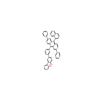 c1ccc(-c2ccc3c(-c4cccc5ccccc45)c4cc(-c5ccccc5)ccc4c(-c4cccc(-c5ccc6oc7ccccc7c6c5)c4)c3c2)cc1